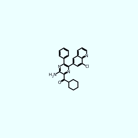 Nc1nc(-c2ccccc2)c(-c2cc(Cl)c3ncccc3c2)nc1C(=O)C1CCCCC1